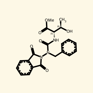 COC(=O)[C@@H](NC(=O)N(Cc1ccccc1)N1C(=O)c2ccccc2C1=O)[C@@H](C)O